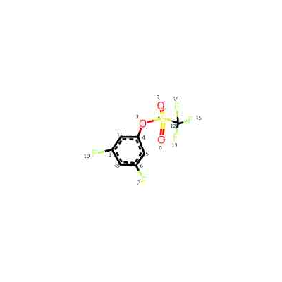 O=S(=O)(Oc1cc(F)cc(F)c1)C(F)(F)F